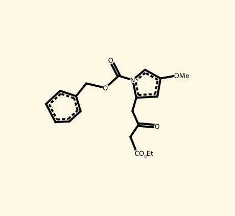 CCOC(=O)CC(=O)Cc1cc(OC)cn1C(=O)OCc1ccccc1